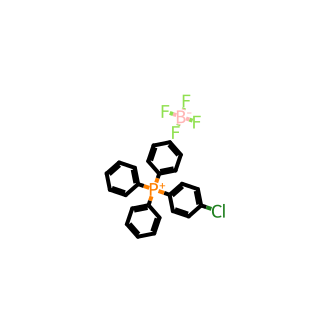 Clc1ccc([P+](c2ccccc2)(c2ccccc2)c2ccccc2)cc1.F[B-](F)(F)F